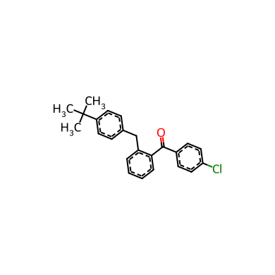 CC(C)(C)c1ccc(Cc2ccccc2C(=O)c2ccc(Cl)cc2)cc1